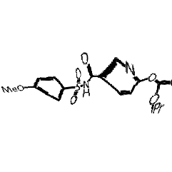 COc1ccc(S(=O)(=O)NC(=O)c2ccc(OC(=O)OC(C)C)nc2)cc1